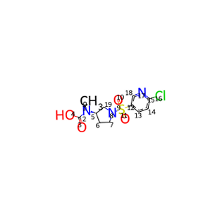 CN(C(=O)O)[C@@H]1CCN(S(=O)(=O)c2ccc(Cl)nc2)C1